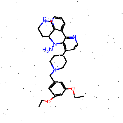 CCOc1cc(CN2CCC(c3ccnc(-c4cccnc4)c3N(N)C3CCNCC3)CC2)cc(OCC)c1